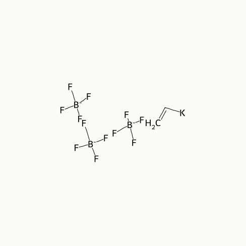 C=[CH][K].F[B-](F)(F)F.F[B-](F)(F)F.F[B-](F)(F)F